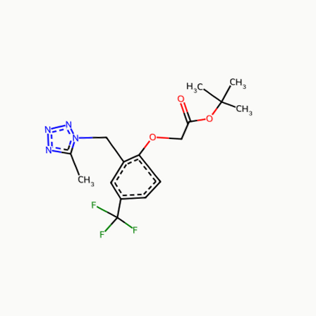 Cc1nnnn1Cc1cc(C(F)(F)F)ccc1OCC(=O)OC(C)(C)C